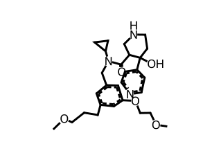 COCCCc1cc(CN(C(=O)C2CNCCC2(O)c2ccncc2)C2CC2)cc(OCCOC)c1